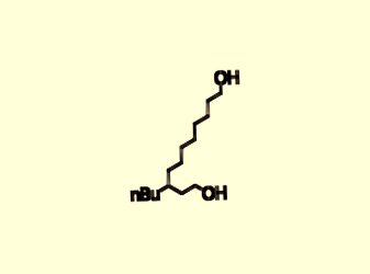 CCCCC(CCO)CCCCCCCCO